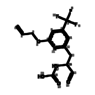 C=CCOc1cc(C(F)(F)F)cc(CC(C=O)NC(=O)O)n1